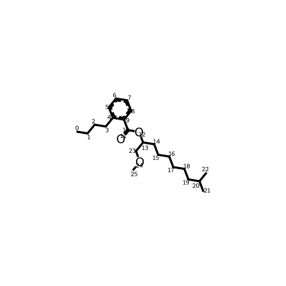 CCCCc1ccccc1C(=O)OC(CCCCCCC(C)C)COC